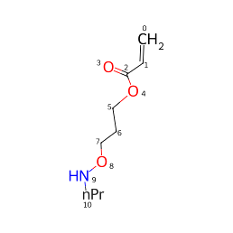 C=CC(=O)OCCCONCCC